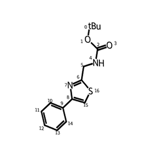 CC(C)(C)OC(=O)NCc1nc(-c2ccccc2)cs1